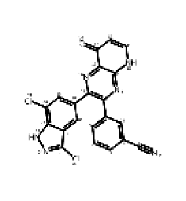 N#Cc1cccc(-c2nc3[nH]ccc(=O)c3nc2-c2cc(Cl)c3[nH]nc(Cl)c3c2)c1